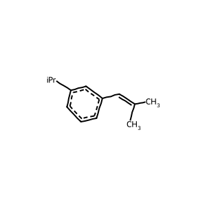 CC(C)=Cc1cccc(C(C)C)c1